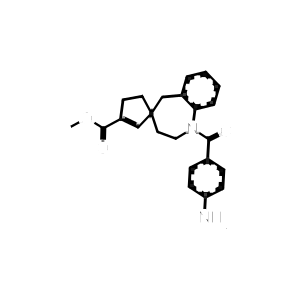 COC(=O)C1=CC2(CC1)CCN(C(=O)c1ccc(N)cc1)c1ccccc1C2